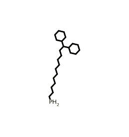 PCCCCCCCCCCCC(C1CCCCC1)C1CCCCC1